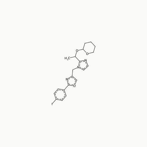 CC(OC1CCCCO1)c1nccn1Cc1coc(-c2ccc(I)cc2)n1